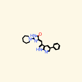 O=C1NC(N2CCCCCC2)=NC1=Cc1c[nH]c2ncc(-c3ccccc3)cc12